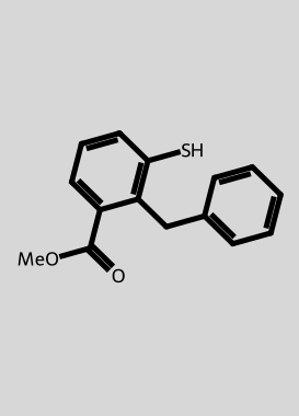 COC(=O)c1cccc(S)c1Cc1ccccc1